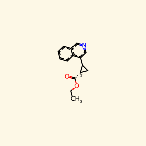 CCOC(=O)[C@H]1CC1c1cncc2ccccc12